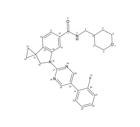 O=C(NCC1CCOCC1)c1ccc2c(c1)N(c1ncc(-c3ccccc3F)cn1)CC21CC1